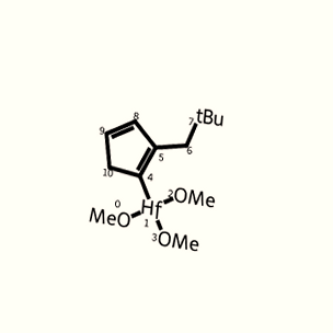 C[O][Hf]([O]C)([O]C)[C]1=C(CC(C)(C)C)C=CC1